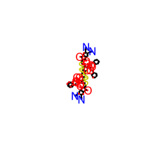 N#Cc1cc2c(cc1C#N)C(=O)C(=Cc1cc3c(s1)-c1sc4c5c(sc4c1OC3(C(=O)OCc1ccccc1)C(=O)OCc1ccccc1)-c1sc(C=C3C(=O)c4cc(C#N)c(C#N)cc4C3=O)cc1C(C(=O)OCc1ccccc1)(C(=O)OCc1ccccc1)O5)C2=O